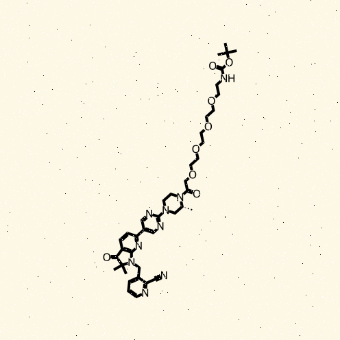 C[C@@H]1CN(c2ncc(-c3ccc4c(n3)N(Cc3cccnc3C#N)C(C)(C)C4=O)cn2)CCN1C(=O)COCCOCCOCCOCCNC(=O)OC(C)(C)C